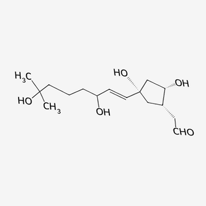 CC(C)(O)CCCC(O)C=C[C@]1(O)C[C@@H](CC=O)[C@@H](O)C1